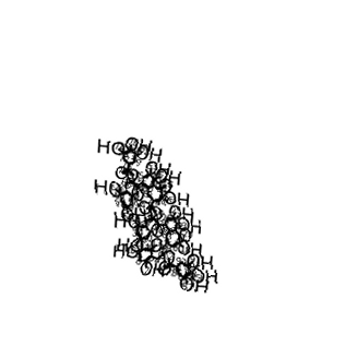 O=C(O[C@H]1Cc2c(O)cc(O)cc2O[C@@H]1c1cc(O)c(=O)c2c(O)c(O)cc([C@H]3Oc4cc(O)cc(O)c4C[C@H]3OC(=O)c3cc(O)c(=O)c4c(O)c(O)cc([C@H]5Oc6cc(O)cc(O)c6C[C@H]5OC(=O)c5cc(O)c(O)c(O)c5)c4c3)c2c1)c1cc(O)c(O)c(O)c1